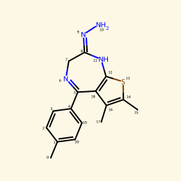 Cc1ccc(C2=NC/C(=N/N)Nc3sc(C)c(C)c32)cc1